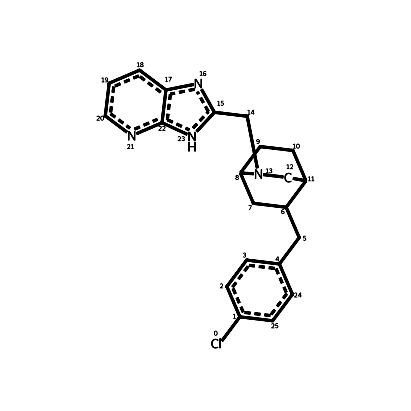 Clc1ccc(CC2CC3CCC2CN3Cc2nc3cccnc3[nH]2)cc1